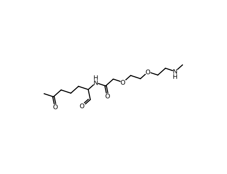 CNCCOCCOCC(=O)NC(C=O)CCCC(C)=O